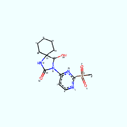 CS(=O)(=O)c1nccc(N2C(=O)NC3(CCCCC3)C2O)n1